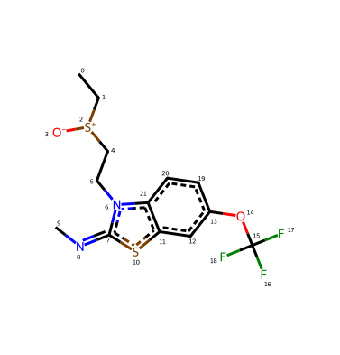 CC[S+]([O-])CCn1/c(=N\C)sc2cc(OC(F)(F)F)ccc21